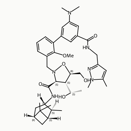 COc1c(CN2O[C@@H](CO)[C@H]([C@H](C)O)[C@H]2C(=O)N[C@H]2C[C@H]3C[C@@H]([C@@H]2C)C3(C)C)cccc1-c1cc(C(=O)NCc2cc(C)n(C)n2)cc(N(C)C)c1